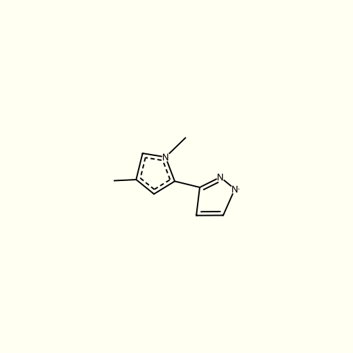 Cc1cc(C2=N[N]C=C2)n(C)c1